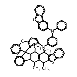 CC1C2=C3C(C)C4=C1C(C)c1sc5ccccc5c1C4(C)N(c1cccc(N(c4ccccc4)c4ccc5oc6ccccc6c5c4)c1)c1ccc4c(c1)C3(c1ccccc1O4)c1ccccc12